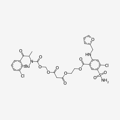 CC(C(=O)c1cccc(Cl)c1)N(C(=O)OCOC(=O)CC(=O)OCCOC(=O)c1cc(S(N)(=O)=O)c(Cl)cc1NCc1ccco1)C(C)(C)C